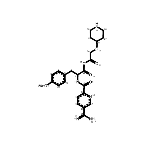 COc1ccc(CC(NC(=O)c2ccc(C(=N)N)cn2)C(=O)OC(=O)COC2CCNCC2)cc1